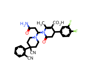 CC1=C(C(=O)O)C(c2ccc(F)c(F)c2)CC(=O)N1C(CC(N)=O)N1CCC(C#N)(c2ccccc2C#N)CC1